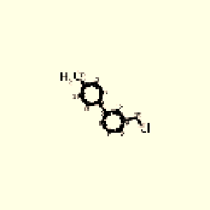 Cc1ccc(-c2cccc(CCl)c2)cc1